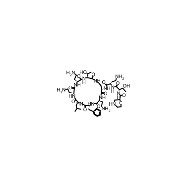 CC(C)C[C@@H]1NC(=O)[C@@H](Cc2ccccc2)NC(=O)[C@H](CCN)NC(=O)[C@@H](NC(=O)[C@H](CCN)NC(=O)[C@@H](NC(=O)[C@H]2CCCNC2)C(C)O)CCNC(=O)[C@H](C(C)O)NC(=O)[C@H](CCN)NC(=O)[C@H](CCN)NC1=O